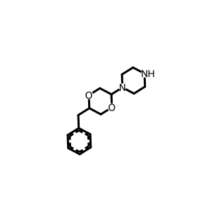 c1ccc(CC2COC(N3CCNCC3)CO2)cc1